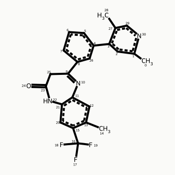 Cc1cc(-c2cccc(C3=Nc4cc(C)c(C(F)(F)F)cc4NC(=O)C3)c2)c(C)cn1